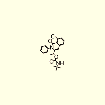 C[C@H](OC(=O)NC(C)(C)C)c1cc2cccc(Cl)c2c(=O)n1-c1ccccc1